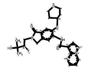 CC(C)(O)[C@H](F)CN1Cc2cc(NC(=O)c3cnn4cccnc34)c(OC3CCOCC3)cc2C1=O